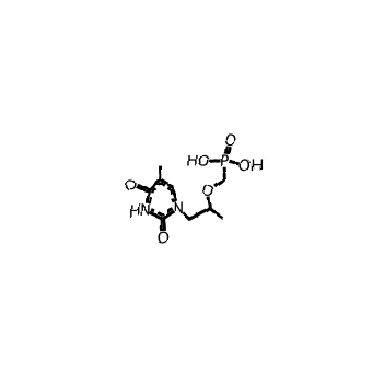 Cc1cn(CC(C)OCP(=O)(O)O)c(=O)[nH]c1=O